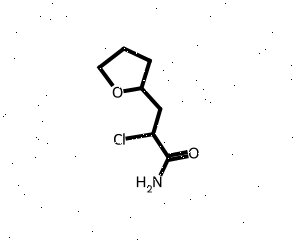 NC(=O)C(Cl)CC1CCCO1